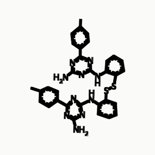 Cc1ccc(-c2nc(N)nc(Nc3ccccc3SSc3ccccc3Nc3nc(N)nc(-c4ccc(C)cc4)n3)n2)cc1